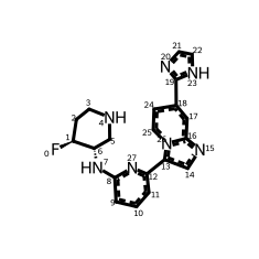 F[C@H]1CCNC[C@@H]1Nc1cccc(-c2cnc3cc(-c4ncc[nH]4)ccn23)n1